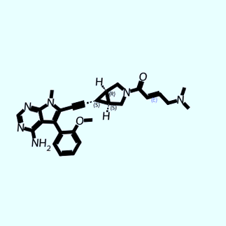 COc1ccccc1-c1c(C#C[C@@H]2[C@H]3CN(C(=O)/C=C/CN(C)C)C[C@@H]23)n(C)c2ncnc(N)c12